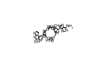 C[C@@H]1[C@@H]2O[P@](=O)(S)OC[C@H]3C[C@@H](n4cnc5c(O)nc6nccn6c54)[C@@H]3CO[P@](=O)(S)OCC[C@H]2O[C@H]1n1cnc2c(N)ncnc21